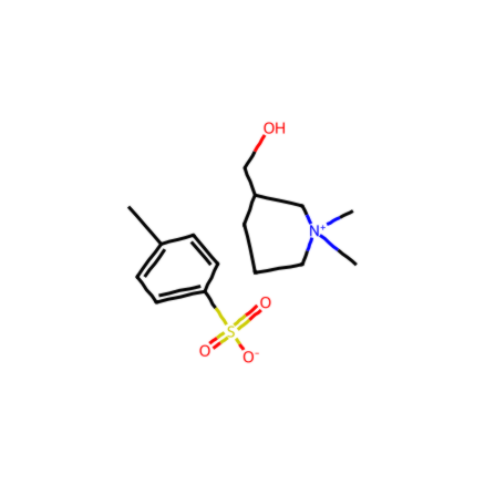 C[N+]1(C)CCCC(CO)C1.Cc1ccc(S(=O)(=O)[O-])cc1